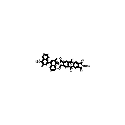 Cc1cc(-c2cc(C)c(C(C)(C)C)c3ccccc23)c2ccccc2c1N1C(=O)c2cc3c(cc2C1=O)C1(C)CCC3(C)c2cc3c(cc21)C(=O)N(C(C)(C)C)C3=O